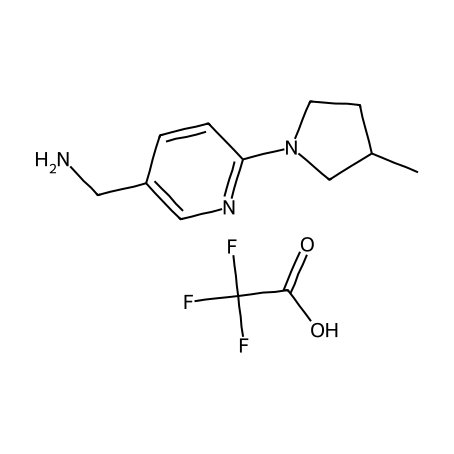 CC1CCN(c2ccc(CN)cn2)C1.O=C(O)C(F)(F)F